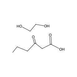 CCCC(=O)CC(=O)O.OCCO